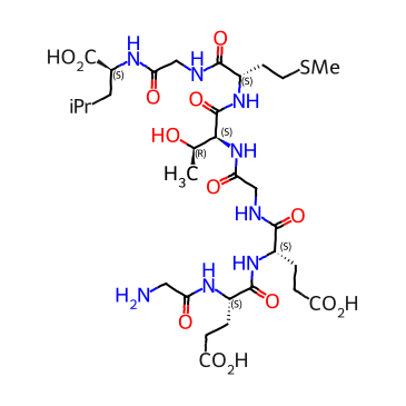 CSCC[C@H](NC(=O)[C@@H](NC(=O)CNC(=O)[C@H](CCC(=O)O)NC(=O)[C@H](CCC(=O)O)NC(=O)CN)[C@@H](C)O)C(=O)NCC(=O)N[C@@H](CC(C)C)C(=O)O